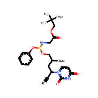 C#CC(CC(COP(NCC(=O)OCC(C)(C)OC)Oc1ccccc1)OC)n1ccc(=O)[nH]c1=O